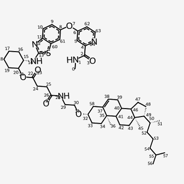 CNC(=O)c1cc(Oc2ccc3nc(N[C@H]4CCCCC4OC(=O)CCC(=O)NCCO[C@H]4CC[C@@]5(C)C(=CCC6C5CC[C@@]5(C)C6CC[C@@H]5[C@H](C)CCCC(C)C)C4)sc3c2)ccn1